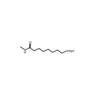 CCCCCCCCCCCCCCC(=O)NI